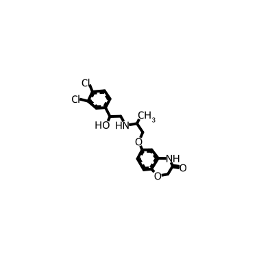 CC(COc1ccc2c(c1)NC(=O)CO2)NCC(O)c1ccc(Cl)c(Cl)c1